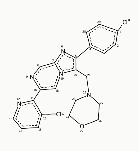 Clc1ccc(-c2nc3cnc(-c4ncccc4Cl)cn3c2CN2CCOCC2)cc1